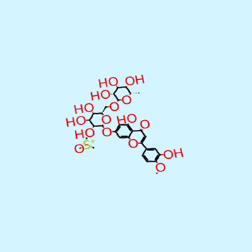 COc1ccc(-c2cc(=O)c3c(O)cc(O[C@@H]4O[C@H](CO[C@@H]5O[C@@H](C)[C@H](O)[C@@H](O)[C@H]5O)[C@@H](O)[C@H](O)[C@H]4O)cc3o2)cc1O.C[S+](C)[O-]